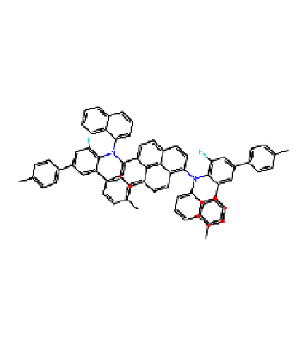 Cc1ccc(-c2cc(F)c(N(c3cccc4ccccc34)c3ccc4ccc5c(N(c6c(F)cc(-c7ccc(C)cc7)cc6-c6ccc(C)cc6)c6cccc7ccccc67)ccc6ccc3c4c65)c(-c3ccc(C)cc3)c2)cc1